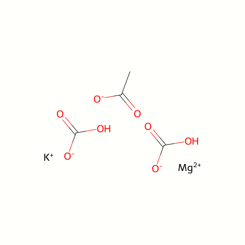 CC(=O)[O-].O=C([O-])O.O=C([O-])O.[K+].[Mg+2]